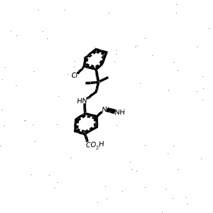 CC(C)(CNc1ccc(C(=O)O)cc1N=N)c1ccccc1Cl